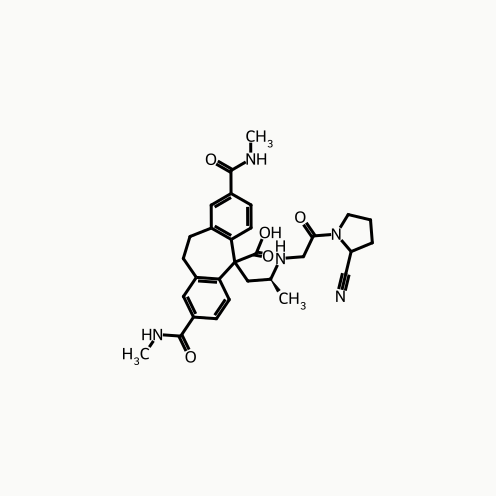 CNC(=O)c1ccc2c(c1)CCc1cc(C(=O)NC)ccc1C2(C[C@H](C)NCC(=O)N1CCCC1C#N)C(=O)O